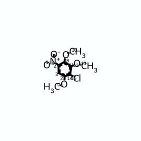 COc1cc([N+](=O)[O-])c(OC)c(OC)c1Cl